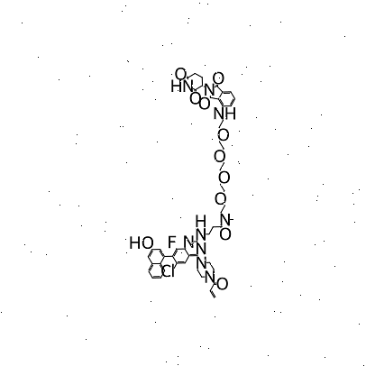 C=CC(=O)N1CCN(c2nc(NCCC(=O)N(C)CCOCCOCCOCCOCCNc3cccc4c3C(=O)N(C3CCC(=O)NC3=O)C4=O)nc3c(F)c(-c4cc(O)cc5ccccc45)c(Cl)cc23)CC1